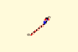 CC(C)C1CC(=O)N(Cc2cn(CCOCCOCCOCCOCCOCCC(C)(C)C)nn2)C1=O